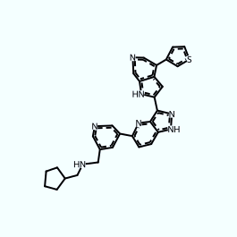 c1cc(-c2cncc3[nH]c(-c4n[nH]c5ccc(-c6cncc(CNCC7CCCC7)c6)nc45)cc23)cs1